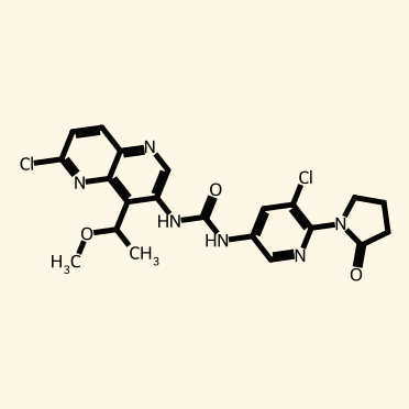 COC(C)c1c(NC(=O)Nc2cnc(N3CCCC3=O)c(Cl)c2)cnc2ccc(Cl)nc12